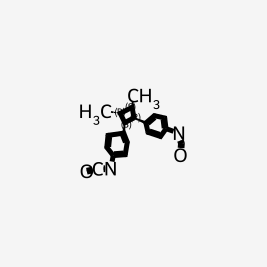 C[C@@H]1[C@H](C)[C@@H](c2ccc(N=C=O)cc2)[C@H]1c1ccc(N=C=O)cc1